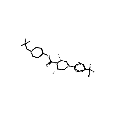 C[C@@H]1CN(c2ncc(C(F)(F)F)cn2)C[C@H](C)N1C(=O)OC1CCN(CC(C)(C)C)CC1